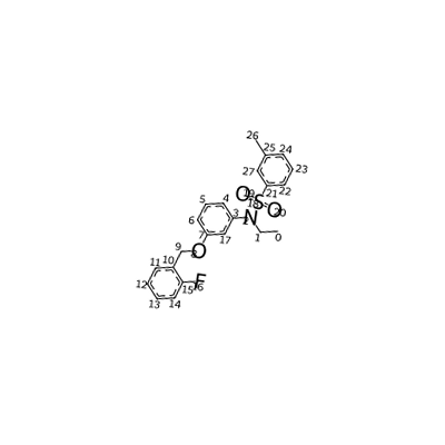 CCN(c1cccc(OCc2ccccc2F)c1)S(=O)(=O)c1cccc(C)c1